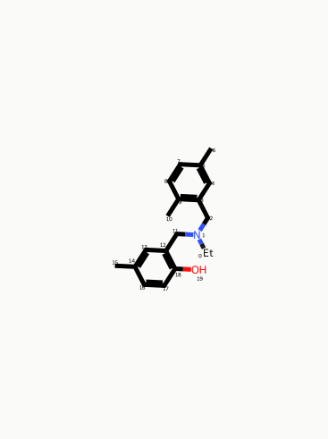 CCN(Cc1cc(C)ccc1C)Cc1cc(C)ccc1O